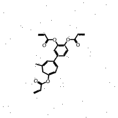 C=CC(=O)OC1=CC=C(c2ccc(OC(=O)C=C)c(OC(=O)C=C)c2)C=C(C)C1